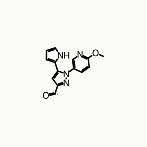 COc1ccc(-n2nc([C]=O)cc2-c2ccc[nH]2)cn1